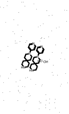 Cl.Cl.c1cc(N2CCC3(CCNCC3)CC2)ccn1.c1cc(N2CCC3(CCNCC3)CC2)ccn1